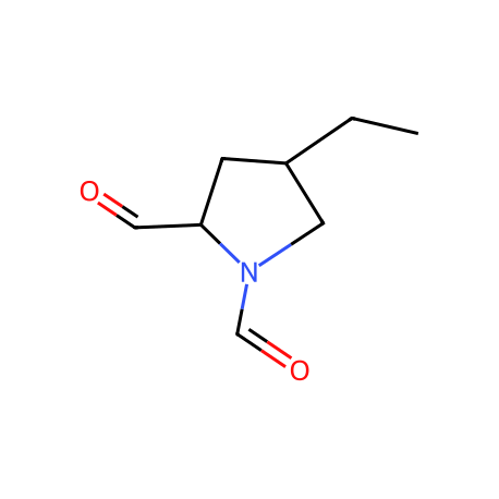 CCC1CC(C=O)N(C=O)C1